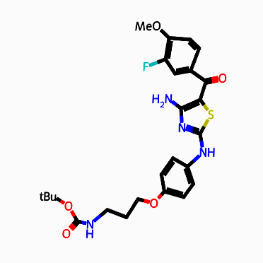 COc1ccc(C(=O)c2sc(Nc3ccc(OCCCNC(=O)OC(C)(C)C)cc3)nc2N)cc1F